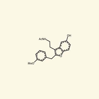 COc1cccc(Cc2oc3ccc(O)cc3c2CCNC(C)=O)c1